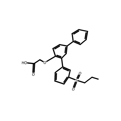 CCCS(=O)(=O)c1cccc(-c2cc(-c3ccccc3)ccc2OCC(=O)O)c1